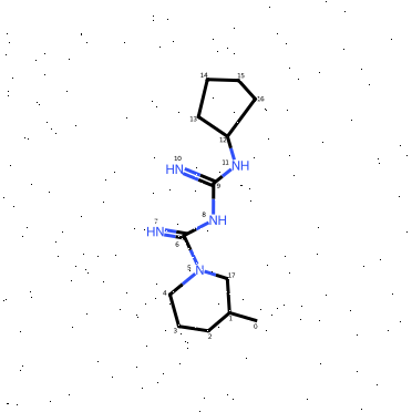 CC1CCCN(C(=N)NC(=N)NC2CCCC2)C1